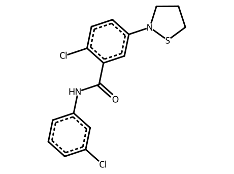 O=C(Nc1cccc(Cl)c1)c1cc(N2CCCS2)ccc1Cl